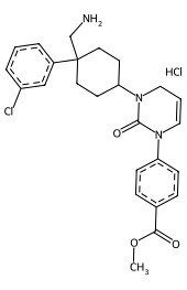 COC(=O)c1ccc(N2C=CCN(C3CCC(CN)(c4cccc(Cl)c4)CC3)C2=O)cc1.Cl